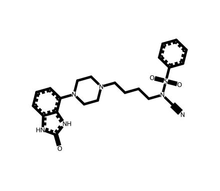 N#CN(CCCCN1CCN(c2cccc3[nH]c(=O)[nH]c23)CC1)S(=O)(=O)c1ccccc1